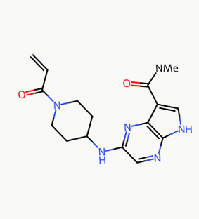 C=CC(=O)N1CCC(Nc2cnc3[nH]cc(C(=O)NC)c3n2)CC1